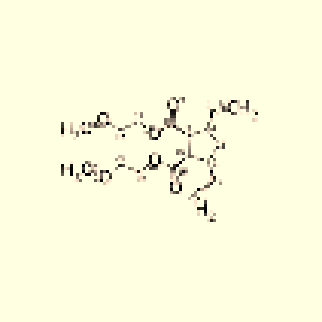 C=C[C@@H]1C[C@H](C=C)[C@H](C(=O)OCCOC)[C@@H]1C(=O)OCCOC